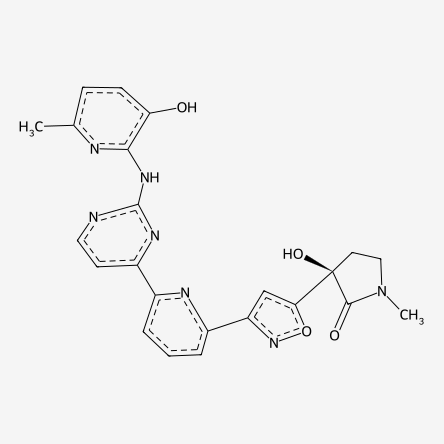 Cc1ccc(O)c(Nc2nccc(-c3cccc(-c4cc([C@]5(O)CCN(C)C5=O)on4)n3)n2)n1